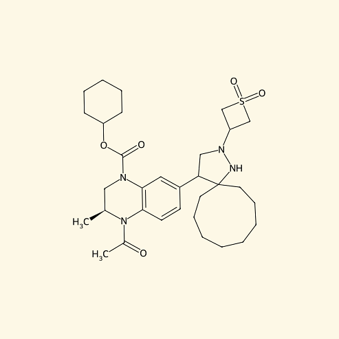 CC(=O)N1c2ccc(C3CN(C4CS(=O)(=O)C4)NC34CCCCCCCC4)cc2N(C(=O)OC2CCCCC2)C[C@@H]1C